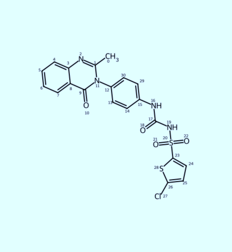 Cc1nc2ccccc2c(=O)n1-c1ccc(NC(=O)NS(=O)(=O)c2ccc(Cl)s2)cc1